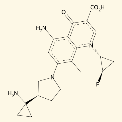 Cc1c(N2CC[C@@H](C3(N)CC3)C2)cc(N)c2c(=O)c(C(=O)O)cn([C@@H]3C[C@H]3F)c12